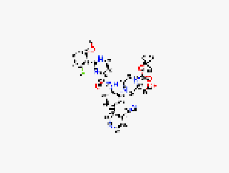 COc1cccc(F)c1-c1nccc(C(=O)Nc2ccc(-c3cnccc3C#N)cc2N2CCN(C(=O)OC(C)(C)C)C(CO)C2)n1